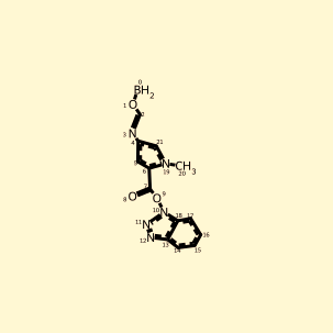 BOC=Nc1cc(C(=O)On2nnc3ccccc32)n(C)c1